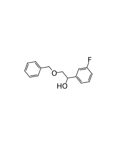 OC(COCc1ccccc1)c1cccc(F)c1